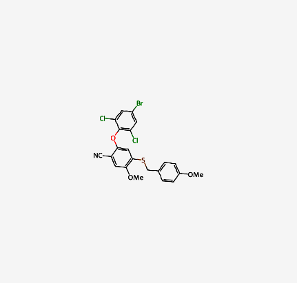 COc1ccc(CSc2cc(Oc3c(Cl)cc(Br)cc3Cl)c(C#N)cc2OC)cc1